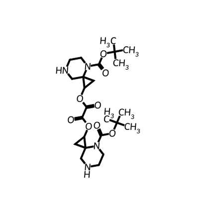 CC(C)(C)OC(=O)N1CCNCC12CC2OC(=O)C(=O)OC1CC12CNCCN2C(=O)OC(C)(C)C